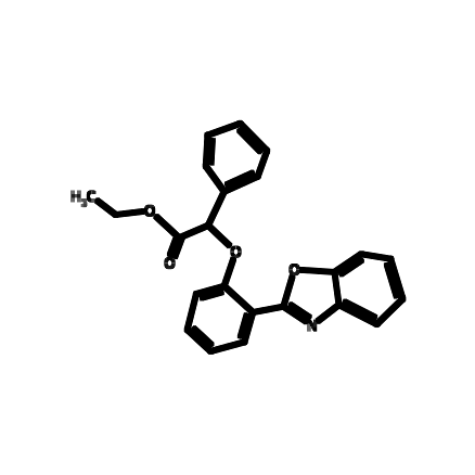 CCOC(=O)C(Oc1ccccc1-c1nc2ccccc2o1)c1ccccc1